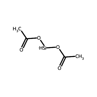 CC(=O)O[SiH]OC(C)=O